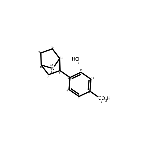 Cl.O=C(O)c1ccc(C2CC3CCC2N3)cc1